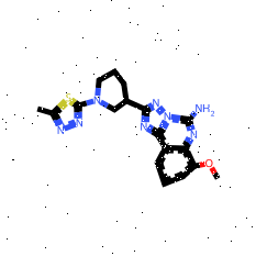 COc1cccc2c1nc(N)n1nc(C3CCCN(c4nnc(C)s4)C3)nc21